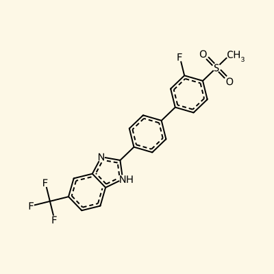 CS(=O)(=O)c1ccc(-c2ccc(-c3nc4cc(C(F)(F)F)ccc4[nH]3)cc2)cc1F